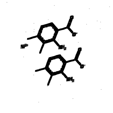 Cc1ccc(C(=O)[O-])c(N)c1C.Cc1ccc(C(=O)[O-])c(N)c1C.[Ni+2]